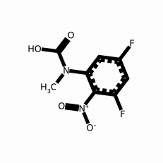 CN(C(=O)O)c1cc(F)cc(F)c1[N+](=O)[O-]